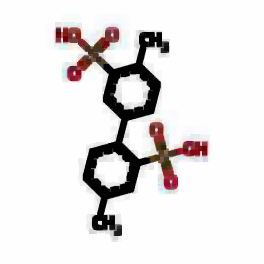 Cc1ccc(-c2ccc(C)c(S(=O)(=O)O)c2)c(S(=O)(=O)O)c1